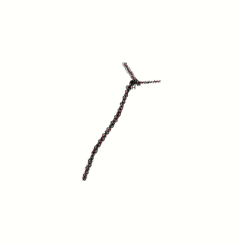 CCCCCCCCCCCCCCCCCC(=O)OCC(COP(=O)(O)OCCNC(=O)OCCOCCOCCOCCOCCOCCOCCOCCOCCOCCOCCOCCOCCOCCOCCOCCOCCOCCOCCOCCOCCOCCOCCOCCOCCOCCOCCOCCOC)OC(=O)CCCCCCCCCCCCCCCCC